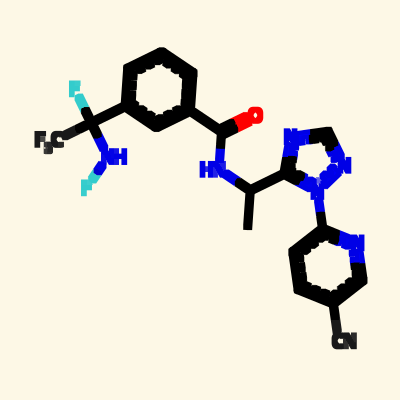 CC(NC(=O)c1cccc(C(F)(NF)C(F)(F)F)c1)c1ncnn1-c1ccc(C#N)cn1